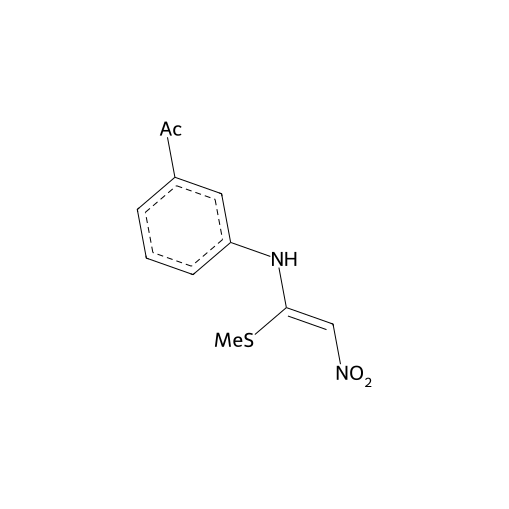 CS/C(=C\[N+](=O)[O-])Nc1cccc(C(C)=O)c1